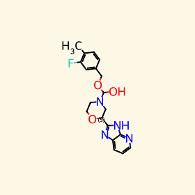 Cc1ccc(COC(O)N2CCO[C@H](c3nc4cccnc4[nH]3)C2)cc1F